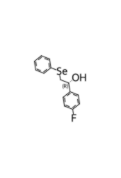 O[C@@H](C[Se]c1ccccc1)c1ccc(F)cc1